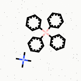 C[N+](C)(C)C.c1ccc([B-](c2ccccc2)(c2ccccc2)c2ccccc2)cc1